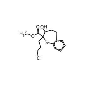 COC(=O)C1(CCCCl)Sc2ccccc2CCC1O